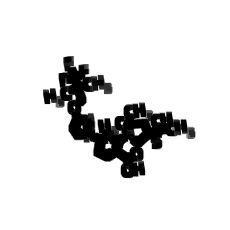 CC1(C)CC2(CN1c1nc(-n3ccc(OCC(C)(C)C(F)(F)F)n3)ccc1C(=O)O)SC2(C)C